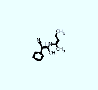 CC/C=C(/C)N/C(C)=C(\C#N)c1ccccc1